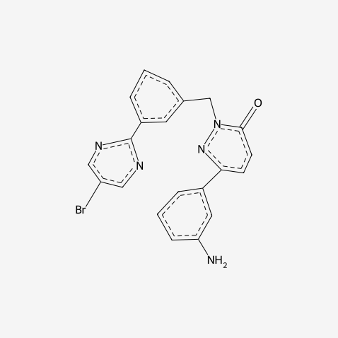 Nc1cccc(-c2ccc(=O)n(Cc3cccc(-c4ncc(Br)cn4)c3)n2)c1